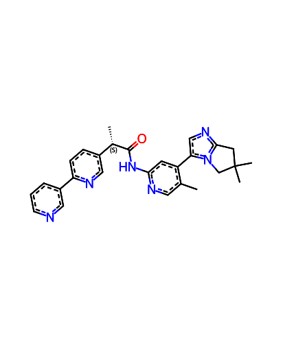 Cc1cnc(NC(=O)[C@@H](C)c2ccc(-c3cccnc3)nc2)cc1-c1cnc2n1CC(C)(C)C2